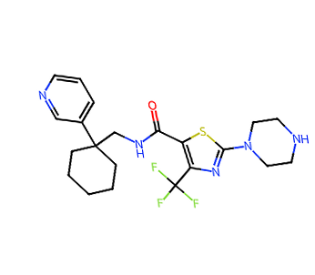 O=C(NCC1(c2cccnc2)CCCCC1)c1sc(N2CCNCC2)nc1C(F)(F)F